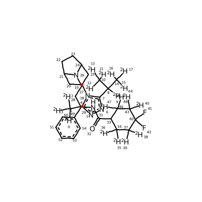 [2H]C([2H])([2H])c1nnc(C([2H])(C([2H])([2H])[2H])C([2H])([2H])[2H])n1C1CC2CCC(C1)N2CCC(NC(=O)C1C([2H])([2H])C([2H])([2H])C(F)(F)C([2H])([2H])C1([2H])[2H])c1ccccc1